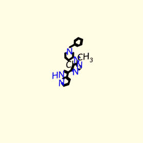 C[C@@H]1CCN(Cc2ccccc2)CC1N(C)c1cc(-c2c[nH]c3ncccc23)ncn1